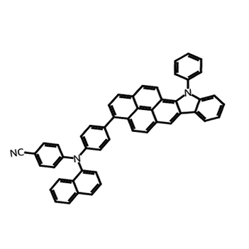 N#Cc1ccc(N(c2ccc(-c3ccc4ccc5c6c(ccc3c46)cc3c4ccccc4n(-c4ccccc4)c35)cc2)c2cccc3ccccc23)cc1